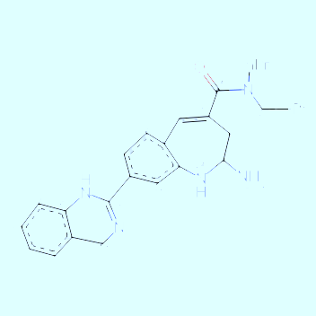 CCCN(CC(C)C)C(=O)C1=Cc2ccc(C3=NCc4ccccc4N3)cc2NC(N)C1